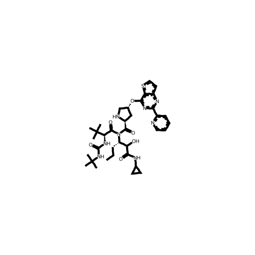 CCC[C@@H](C(O)C(=O)NC1CC1)N(C(=O)[C@@H]1C[C@@H](Oc2nc(-c3ccccn3)nc3ccsc23)CN1)C(=O)[C@@H](NC(=O)NC(C)(C)C)C(C)(C)C